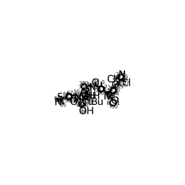 Cc1cc(-c2nn(C3CCCCO3)c3ccc(O[C@H](C)c4c(Cl)cncc4Cl)cc23)ccc1C(=O)NCC1(CC(=O)N[C@H](C(=O)N2C[C@H](O)C[C@H]2C(=O)N[C@@H](C)c2ccc(-c3scnc3C)cc2)C(C)(C)C)CCCC1